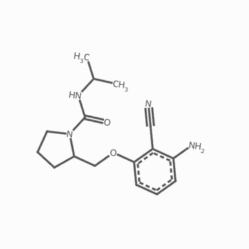 CC(C)NC(=O)N1CCCC1COc1cccc(N)c1C#N